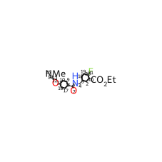 CCOC(=O)c1cc(CNC(=O)c2ccc(OCCNC)cc2)ccc1F